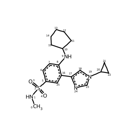 CNS(=O)(=O)c1ccc(NC2CCCCC2)c(-c2cn(C3CC3)cn2)c1